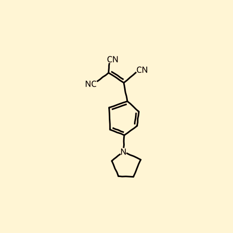 N#CC(C#N)=C(C#N)c1ccc(N2CCCC2)cc1